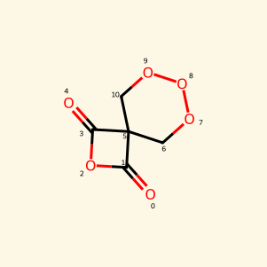 O=C1OC(=O)C12COOOC2